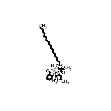 CCC=CCC=CCC=CCC=CCC=CCCCCSC(CC)(CC)C(=O)NC(CC(C)C)C(=O)Oc1ccccc1C(=O)O